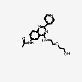 CC(=O)Nc1ccc2nc(-c3ccncc3)nc(NCCOCCO)c2c1